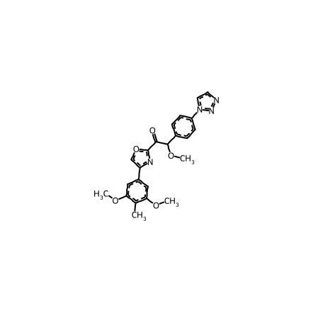 COc1cc(-c2coc(C(=O)C(OC)c3ccc(-n4ccnn4)cc3)n2)cc(OC)c1C